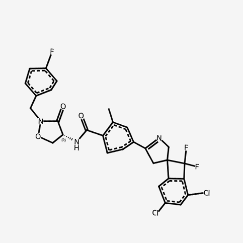 Cc1cc(C2=NCC3(C2)c2cc(Cl)cc(Cl)c2C3(F)F)ccc1C(=O)N[C@@H]1CON(Cc2ccc(F)cc2)C1=O